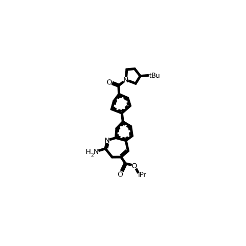 CC(C)OC(=O)C1=Cc2ccc(-c3ccc(C(=O)N4CCC(C(C)(C)C)C4)cc3)cc2N=C(N)C1